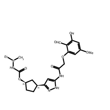 CCN(C)NC(=O)O[C@@H]1CC[C@H](c2cc(NC(=O)COc3cc(OC)cc(O)c3C=O)[nH]n2)C1